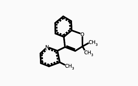 Cc1cccnc1C1=CC(C)(C)Oc2ccccc21